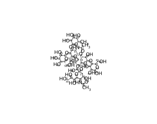 CC(=O)N[C@H]1[C@H](O[C@H]2[C@@H](O)[C@@H](CO[C@]3(C(=O)O)C[C@H](O)[C@@H](NC(C)=O)[C@H]([C@H](O)[C@H](O)CO)O3)O[C@@H](O[C@H]3[C@H](O)[C@@H](O)C(O)O[C@@H]3CO)[C@@H]2O)O[C@H](CO)[C@@H](O[C@@H]2O[C@H](CO)[C@H](O)[C@H](O)[C@H]2O)[C@@H]1O[C@@H]1O[C@@H](C)[C@@H](O)[C@@H](O)[C@@H]1O